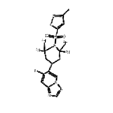 [2H]C1([2H])CC(c2cn3ncnc3cc2F)CC([2H])([2H])N1S(=O)(=O)c1cc(C)ns1